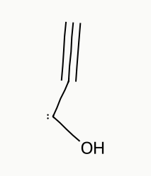 C#C[C]O